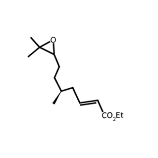 CCOC(=O)C=CC[C@@H](C)CCC1OC1(C)C